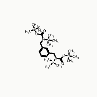 C[Si](C)(C)OC(=O)N(Cc1cccc(CN(C(=O)O[Si](C)(C)C)[Si](C)(C)C)c1)[Si](C)(C)C